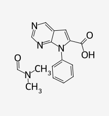 CN(C)C=O.O=C(O)c1cc2cncnc2n1-c1ccccc1